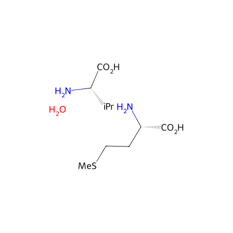 CC(C)[C@H](N)C(=O)O.CSCC[C@H](N)C(=O)O.O